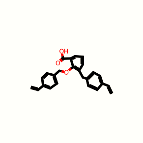 C=Cc1ccc(COc2c(Cc3ccc(C=C)cc3)cccc2C(=O)O)cc1